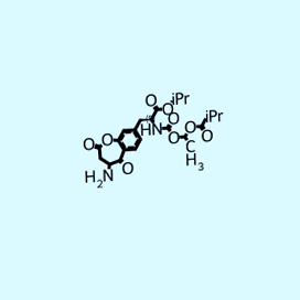 CC(C)OC(=O)[C@H](Cc1ccc2c(c1)OC(=O)CC(N)C2=O)NC(=O)OC(C)OC(=O)C(C)C